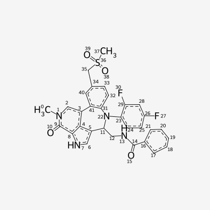 Cn1cc2c3c(c[nH]c3c1=O)C(CNC(=O)c1ccccc1)N(c1ccc(F)cc1F)c1ccc(CS(C)(=O)=O)cc1-2